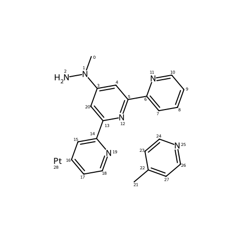 CN(N)c1cc(-c2ccccn2)nc(-c2ccccn2)c1.Cc1ccncc1.[Pt]